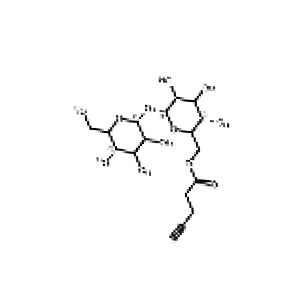 C#CCCC(=O)OCC1O[C@H](O[C@H]2OC(CO)[C@@H](O)C(O)C2O)C(O)C(O)[C@@H]1O